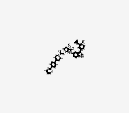 CO[C@@]1(C(=O)Nc2ccc3[nH]nc(-c4cc[n+]([O-])c(C5CC5)c4)c3c2)CCN(CC(=O)N2CC=C(c3ccc(-c4ncccn4)cc3)CC2)C1